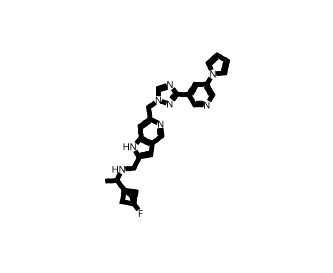 CC(NCc1cc2cnc(Cn3cnc(-c4cncc(-n5cccc5)c4)n3)cc2[nH]1)C12CC(F)(C1)C2